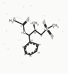 C[C@@H](CS(C)(=O)=O)C(OC(N)=O)c1ccccc1